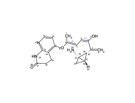 C=C(/C(O)=C\C=C(/C)Oc1ccnc2c1CCC(=O)N2)[C@@H]1[C@@H]2C[C@@]12N